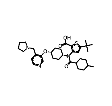 CC1CCC(C(=O)N(c2cc(C(C)(C)C)sc2C(=O)O)[C@H]2CC[C@H](Oc3cnccc3CN3CCCC3)CC2)CC1